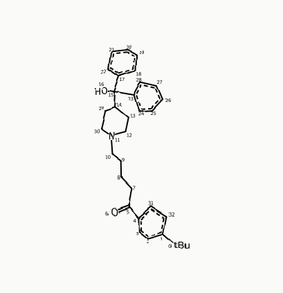 CC(C)(C)c1ccc(C(=O)CCCCN2CCC(C(O)(c3ccccc3)c3ccccc3)CC2)cc1